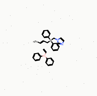 C=CB(c1ccccc1)c1ccccc1.CCCC=CC[Si](Cn1ccnc1)(c1ccccc1)c1ccccc1